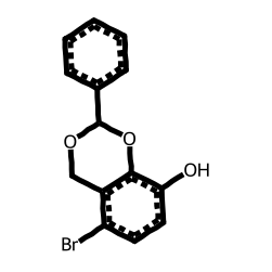 Oc1ccc(Br)c2c1OC(c1ccccc1)OC2